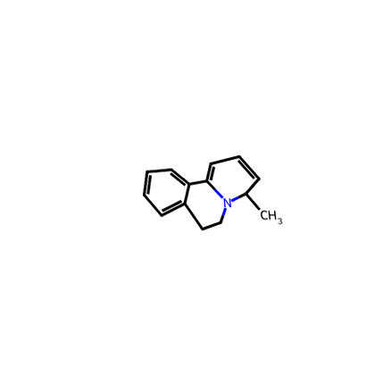 CC1C=CC=C2c3ccccc3CCN21